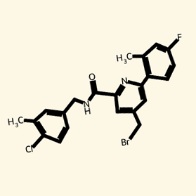 Cc1cc(CNC(=O)c2cc(CBr)cc(-c3ccc(F)cc3C)n2)ccc1Cl